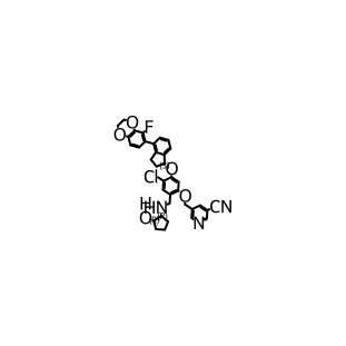 N#Cc1cncc(COc2cc(O[C@H]3CCc4c(-c5ccc6c(c5F)OCCO6)cccc43)c(Cl)cc2CN[C@@H]2CCC[C@H]2O)c1